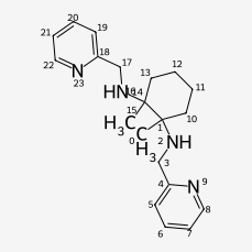 CC1(NCc2ccccn2)CCCCC1(C)NCc1ccccn1